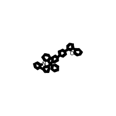 c1ccc(C2(c3ccc(-c4ccc(-c5cccc6c5oc5ccccc56)cc4)cc3)c3ccccc3-n3c4ccccc4c4cccc2c43)cc1